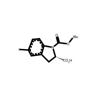 CC(C)(C)OC(=O)N1c2ccc(I)cc2C[C@H]1C(=O)O